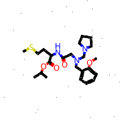 COc1ccccc1CN(CC(=O)NC(CCSC)C(=O)OC(C)C)CN1CCCC1